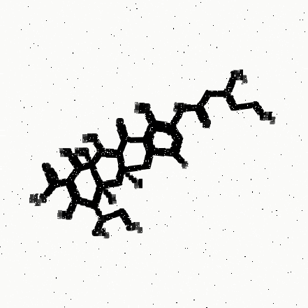 B=C1C(C(N)=O)=C(O)[C@@H](N(C)CC)[C@@H]2C[C@@H]3Cc4c(F)cc(NC(=O)CN(C)CCC)c(O)c4C(=O)C3=C(O)[C@]12O